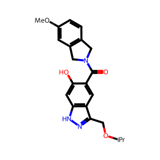 COc1ccc2c(c1)CN(C(=O)c1cc3c(COC(C)C)n[nH]c3cc1O)C2